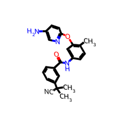 Cc1ccc(NC(=O)c2cccc(C(C)(C)C#N)c2)cc1Oc1ccc(N)cn1